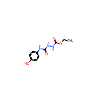 CCOC(=O)NNC(=O)Nc1ccc(O)cc1